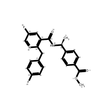 COC(=O)c1ccc([C@H](C)NC(=O)c2cc(F)cnc2Cc2ccc(F)cc2)cc1